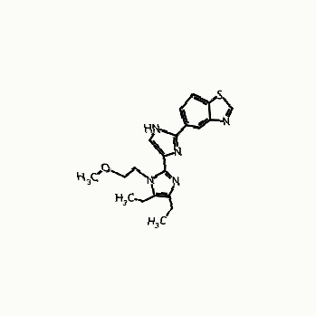 CCc1nc(-c2c[nH]c(-c3ccc4scnc4c3)n2)n(CCOC)c1CC